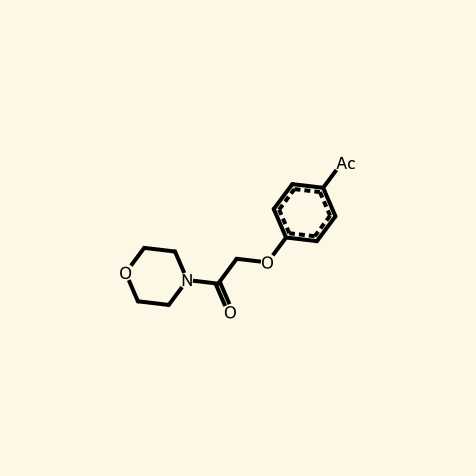 CC(=O)c1ccc(OCC(=O)N2CCOCC2)cc1